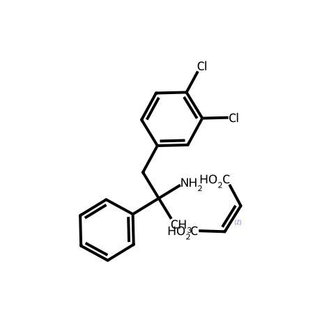 CC(N)(Cc1ccc(Cl)c(Cl)c1)c1ccccc1.O=C(O)/C=C\C(=O)O